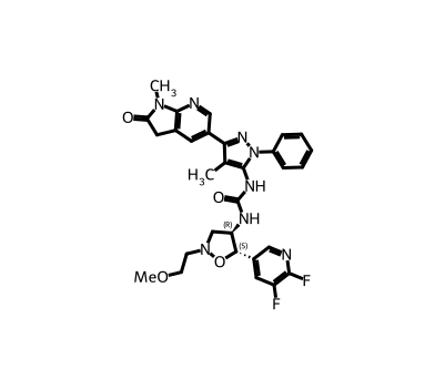 COCCN1C[C@@H](NC(=O)Nc2c(C)c(-c3cnc4c(c3)CC(=O)N4C)nn2-c2ccccc2)[C@H](c2cnc(F)c(F)c2)O1